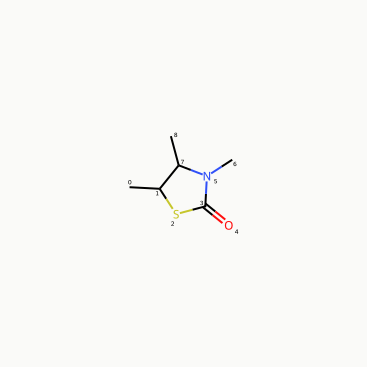 CC1SC(=O)N(C)C1C